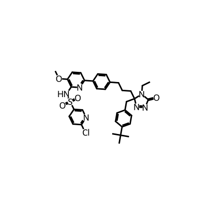 CCN1C(=O)N=NC1(CCCc1ccc(-c2ccc(OC)c(NS(=O)(=O)c3ccc(Cl)nc3)n2)cc1)Cc1ccc(C(C)(C)C)cc1